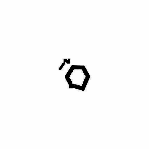 [CH3][Pd].c1ccncc1